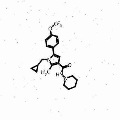 Cc1c(C(=O)NN2CCCCC2)cc(-c2ccc(OC(F)(F)F)cc2)n1CC1CC1